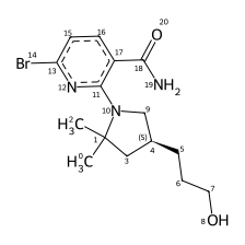 CC1(C)C[C@H](CCCO)CN1c1nc(Br)ccc1C(N)=O